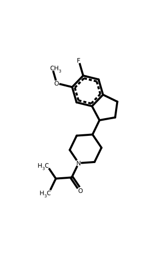 COc1cc2c(cc1F)CCC2C1CCN(C(=O)C(C)C)CC1